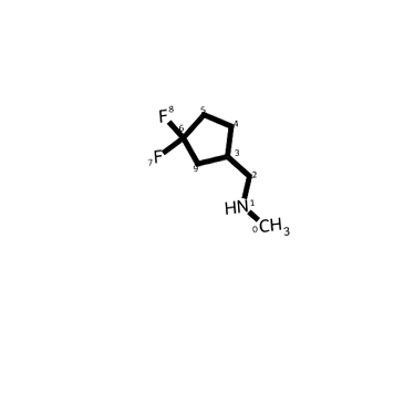 CNCC1CCC(F)(F)C1